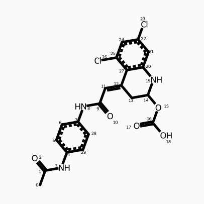 CC(=O)Nc1ccc(NC(=O)/C=C2\CC(OC(=O)O)Nc3cc(Cl)cc(Cl)c32)cc1